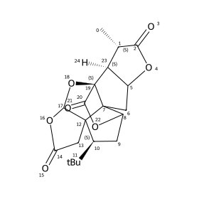 C[C@@H]1C(=O)OC2CC34C5C[C@@H](C(C)(C)C)C36CC(=O)OC6O[C@@]4(C(=O)O5)[C@H]21